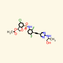 CC(=O)OC1COc2c1cc(Cl)cc2S(=O)(=O)Nc1ccc(F)c(C#Cc2cnc(NC(C)CO)nc2)c1F